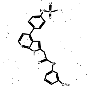 COc1cccc(NC(=O)Cc2cc3c(-c4ccc(NS(C)(=O)=O)cc4)ccnc3[nH]2)c1